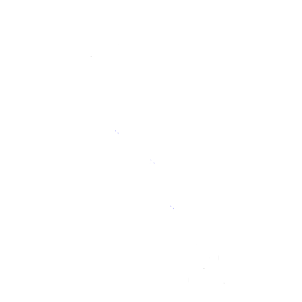 CC(C)(C)OC(=O)CCNCc1ccc(CC=NOCc2ccc(C3CCCCC3)c(C(F)(F)F)c2)nc1Cl